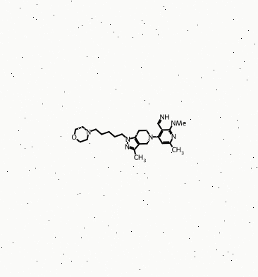 CNc1nc(C)cc(N2CCc3c(c(C)nn3CCCCCN3CCOCC3)C2)c1C=N